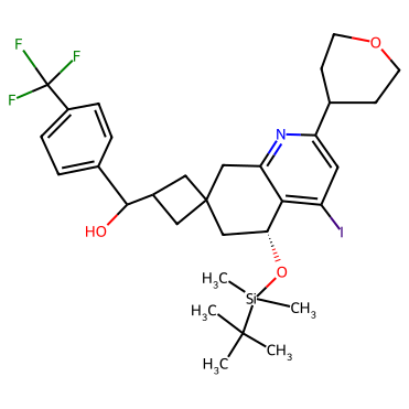 CC(C)(C)[Si](C)(C)O[C@@H]1CC2(Cc3nc(C4CCOCC4)cc(I)c31)CC(C(O)c1ccc(C(F)(F)F)cc1)C2